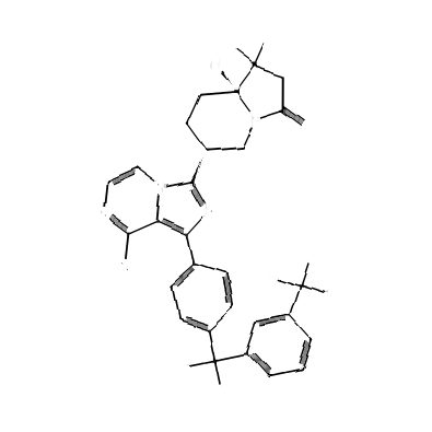 CC(O)(c1ccc(-c2nc([C@H]3CC[C@H]4N(C3)C(=O)CC4(C)C)n3ccnc(N)c23)cc1)c1cccc(C(F)(F)F)c1